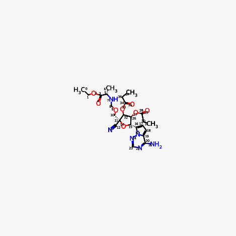 CCOC(=O)[C@H](C)NCOC[C@@]1(C#N)O[C@@H](c2ccc3c(N)ncnn23)[C@H](OC(=O)CC)[C@@H]1OC(=O)CC